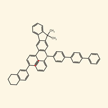 CC1(C)c2ccccc2-c2cc(-c3ccc(-c4ccc5c(c4)CCCC5)cc3)c(N(c3ccccc3)c3ccc(-c4ccc(-c5ccccc5)cc4)cc3)cc21